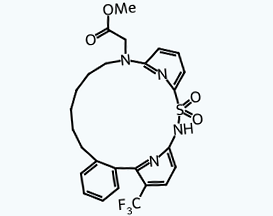 COC(=O)CN1CCCCCCc2ccccc2-c2nc(ccc2C(F)(F)F)NS(=O)(=O)c2cccc1n2